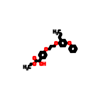 CCCc1cc(Oc2ccccc2)ccc1OCCCOc1ccc(C(O)C(=O)OCC)cc1